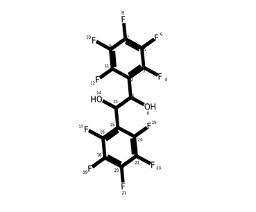 OC(c1c(F)c(F)c(F)c(F)c1F)C(O)c1c(F)c(F)c(F)c(F)c1F